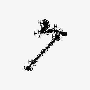 CC[C@@]1(O)C(=O)OCc2c1cc1n(c2=O)Cc2c-1nc1cc(F)c(C)c3c1c2[C@@H](NC(=O)C1CCC(OCNC(=O)CNC(=O)[C@H](Cc2ccccc2)NC(=O)CNC(=O)CNC(=O)COCCOCCOCCOCCOCCOCCOCCOCCNC(=O)CCCCCN2C(=O)C=CC2=O)CC1)CC3